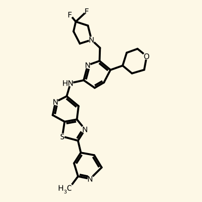 Cc1cc(-c2nc3cc(Nc4ccc(C5CCOCC5)c(CN5CCC(F)(F)C5)n4)ncc3s2)ccn1